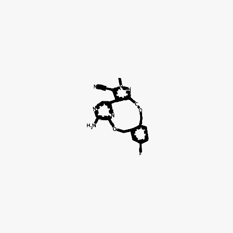 Cn1nc2c(c1C#N)-c1cnc(N)c(n1)OCc1cc(F)ccc1COC2